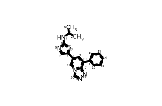 CC(C)Nc1ncc(-c2cc(-c3ccccc3)c3nncn3c2)s1